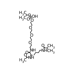 CC(=O)N[C@@H](CCCCNC(=O)C(C)C)C(=O)NCCOCCOCCOCCOP(=O)(O)OC(C)C